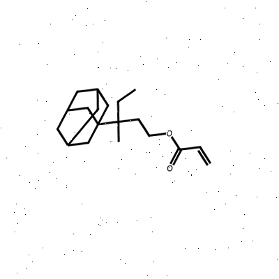 C=CC(=O)OCCC(C)(CC)C12CC3CC(CC(C3)C1)C2